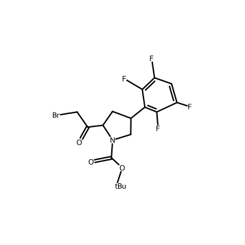 CC(C)(C)OC(=O)N1CC(c2c(F)c(F)cc(F)c2F)CC1C(=O)CBr